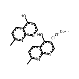 Cc1ccc2c(O)ccnc2n1.Cc1ccc2c(O)ccnc2n1.[Cl-].[Cl-].[Co+2]